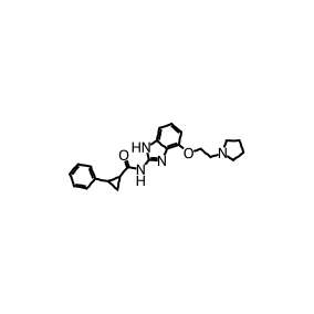 O=C(Nc1nc2c(OCCN3CCCC3)cccc2[nH]1)C1CC1c1ccccc1